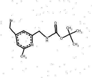 Cc1cc(CBr)cc(CNC(=O)OC(C)(C)C)n1